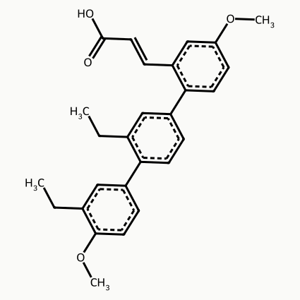 CCc1cc(-c2ccc(-c3ccc(OC)cc3/C=C/C(=O)O)cc2CC)ccc1OC